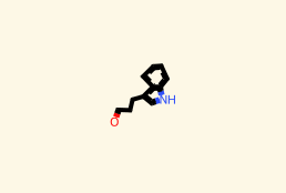 O=CCCc1c[nH]c2ccccc12